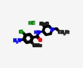 CCOC(=O)CN1CC[C@@H](NC(=O)c2cc(Cl)c(N)cc2OC)[C@@H](OC)C1.Cl